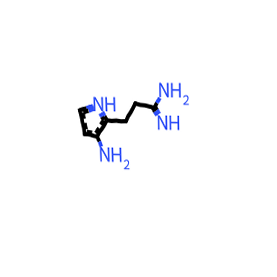 N=C(N)CCc1[nH]ccc1N